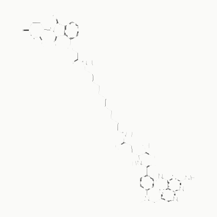 CN(Cc1cnc2nc(N)nc(N)c2n1)c1ccc(C(=O)NC(CCC(=O)NCCCCCCCCCCCNC(=O)COc2cccc3c2C(=O)N(C2CCC(=O)NC2=O)C3=O)C(=O)O)cc1